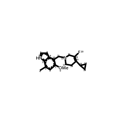 COc1cc(C)c2[nH]ccc2c1CN1CCC(C2CC2)=C(F)C1